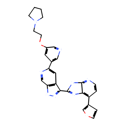 c1cc(-c2ccoc2)c2nc(-c3n[nH]c4cnc(-c5cncc(OCCN6CCCC6)c5)cc34)[nH]c2n1